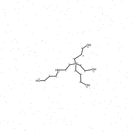 OCCCNCC[N+](CCO)(CCCO)CCCO